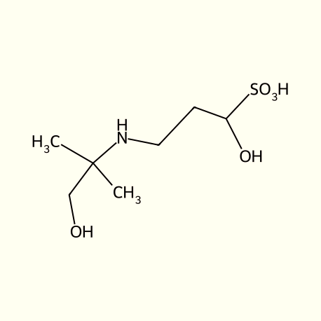 CC(C)(CO)NCCC(O)S(=O)(=O)O